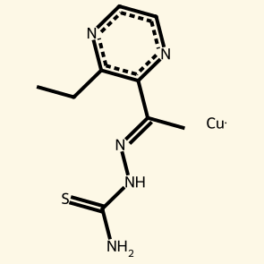 CCc1nccnc1C(C)=NNC(N)=S.[Cu]